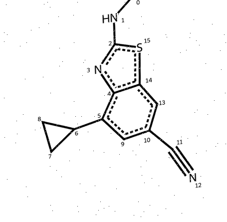 CNc1nc2c(C3CC3)cc(C#N)cc2s1